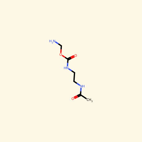 CC(=O)NCCNC(=O)OCN